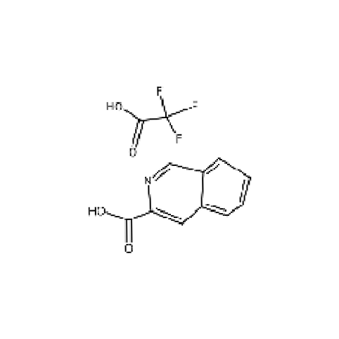 O=C(O)C(F)(F)F.O=C(O)c1cc2ccccc2cn1